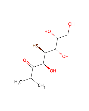 CC(C)C(=O)[C@H](O)[C@@H](S)[C@@H](O)[C@H](O)CO